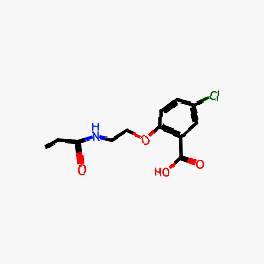 CCC(=O)NCCOc1ccc(Cl)cc1C(=O)O